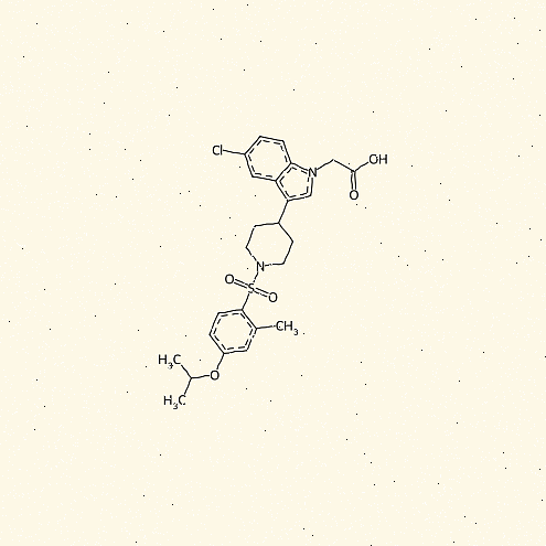 Cc1cc(OC(C)C)ccc1S(=O)(=O)N1CCC(c2cn(CC(=O)O)c3ccc(Cl)cc23)CC1